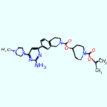 CC(C)OC(=O)N1CCC(OC(=O)N2CCc3ccc(-c4cc(N5CCN(C)CC5)nc(N)n4)cc3C2)CC1